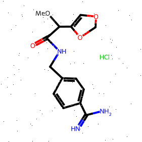 COC(C(=O)NCc1ccc(C(=N)N)cc1)C1=COCO1.Cl